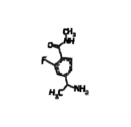 CNC(=O)c1ccc(C(C)N)cc1F